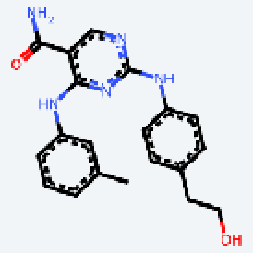 Cc1cccc(Nc2nc(Nc3ccc(CCO)cc3)ncc2C(N)=O)c1